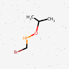 CC(C)OPCBr